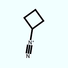 N#[N+]C1CCC1